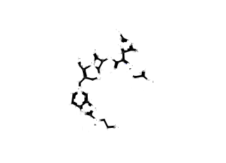 C[C@H](O/N=C(\C(=O)NC1C(=O)N2C(C=O)=C(C[n+]3ccc4[nH]c(N(C)CCN)nc4c3)CSC12)c1nc(N)sc1Cl)C(=O)O